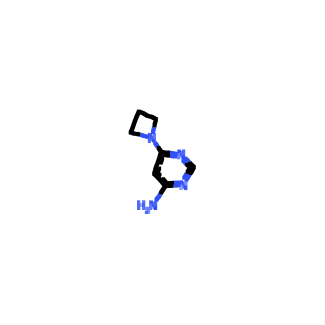 Nc1cc(N2CCC2)ncn1